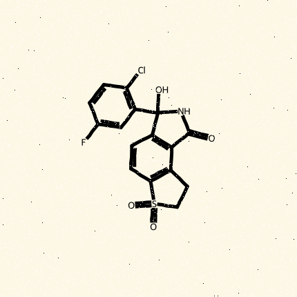 O=C1NC(O)(c2cc(F)ccc2Cl)c2ccc3c(c21)CCS3(=O)=O